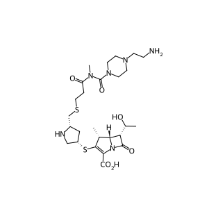 CC(O)[C@@H]1C(=O)N2C(C(=O)O)=C(S[C@@H]3CN[C@H](CSCCC(=O)N(C)C(=O)N4CCN(CCN)CC4)C3)[C@H](C)[C@H]12